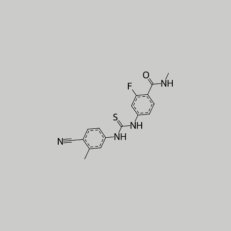 CNC(=O)c1ccc(NC(=S)Nc2ccc(C#N)c(C)c2)cc1F